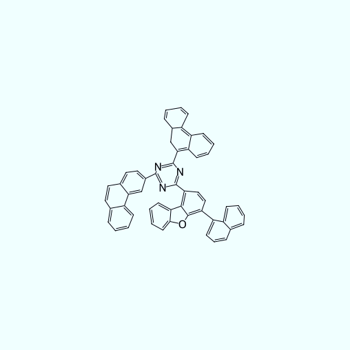 C1=CC2=c3ccccc3=C(c3nc(-c4ccc5ccc6ccccc6c5c4)nc(-c4ccc(-c5cccc6ccccc56)c5oc6ccccc6c45)n3)CC2C=C1